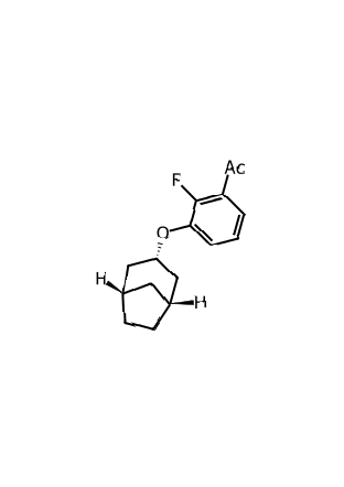 CC(=O)c1cccc(O[C@@H]2C[C@@H]3CC[C@@H](C3)C2)c1F